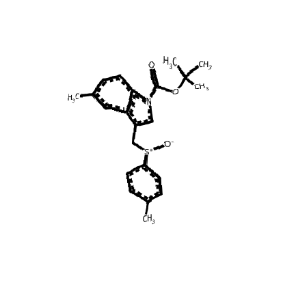 Cc1ccc([S+]([O-])Cc2cn(C(=O)OC(C)(C)C)c3ccc(C)cc23)cc1